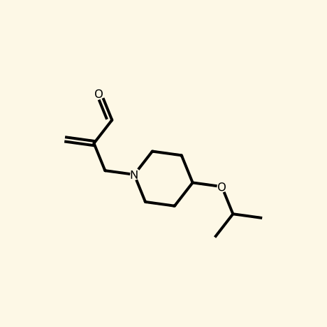 C=C(C=O)CN1CCC(OC(C)C)CC1